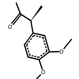 COc1ccc([C@H](C)C(C)=O)cc1OC